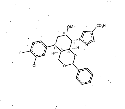 CO[C@H]1C[SH](c2ccc(Cl)c(Cl)c2)[C@@H]2COC(c3ccccc3)O[C@@H]2[C@H]1n1cc(C(=O)O)nn1